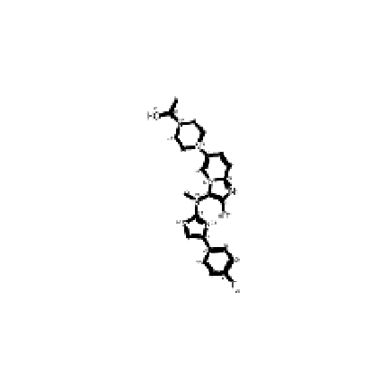 CCc1nc2ccc(N3CCN(C(C)O)CC3)cn2c1N(C)c1nc(-c2ccc(F)cc2)cs1